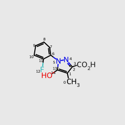 Cc1c(C(=O)O)nn(-c2ccccc2F)c1O